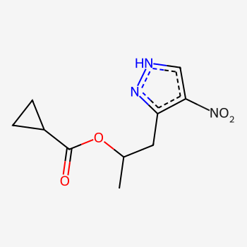 CC(Cc1n[nH]cc1[N+](=O)[O-])OC(=O)C1CC1